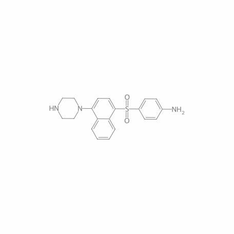 Nc1ccc(S(=O)(=O)c2ccc(N3CCNCC3)c3ccccc23)cc1